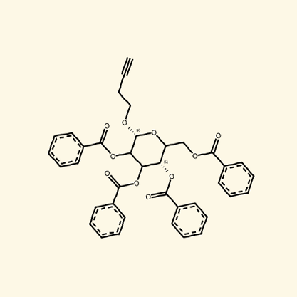 C#CCCO[C@@H]1OC(COC(=O)c2ccccc2)[C@H](OC(=O)c2ccccc2)C(OC(=O)c2ccccc2)C1OC(=O)c1ccccc1